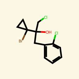 OC(CCl)(Cc1ccccc1Cl)C1(Br)CC1